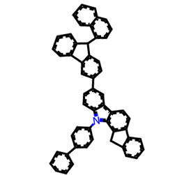 c1ccc(-c2ccc(-n3c4ccc(-c5ccc6c(c5)-c5ccccc5C6c5cccc6ccccc56)cc4c4ccc5c(c43)Cc3ccccc3-5)cc2)cc1